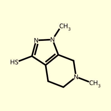 CN1CCc2c(S)nn(C)c2C1